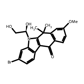 COc1ccc2c(c1)C(C)(C)c1c(c3ccc(Br)cc3n1[C@H](O)CO)C2=O